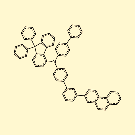 c1ccc(-c2ccc(N(c3ccc(-c4cccc(-c5ccc6c(ccc7ccccc76)c5)c4)cc3)c3cccc4c3-c3ccccc3C4(c3ccccc3)c3ccccc3)cc2)cc1